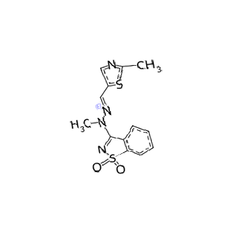 Cc1ncc(/C=N/N(C)C2=NS(=O)(=O)c3ccccc32)s1